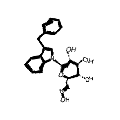 ON=C[C@H]1O[C@@H](n2cc(Cc3ccccc3)c3ccccc32)[C@H](O)[C@@H](O)[C@@H]1O